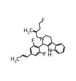 C=C(CCF)CN1CCc2c([nH]c3ccccc23)C1c1c(F)cc(/C=C/C)cc1F